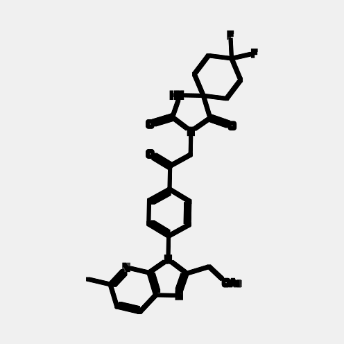 CC(=O)OCc1nc2ccc(C)nc2n1-c1ccc(C(=O)CN2C(=O)NC3(CCC(F)(F)CC3)C2=O)cc1